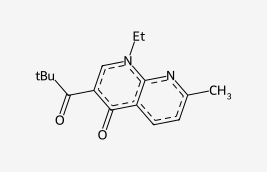 CCn1cc(C(=O)C(C)(C)C)c(=O)c2ccc(C)nc21